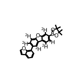 [2H]c1c(-c2cccc3ccoc23)c([2H])c2c(oc3c([2H])c(B4OC(C)(C)C(C)(C)O4)c([2H])c([2H])c32)c1[2H]